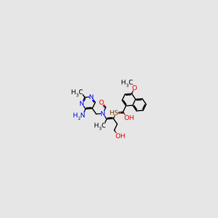 COc1ccc(/C(O)=[SH]/C(CCO)=C(/C)N(C=O)Cc2cnc(C)nc2N)c2ccccc12